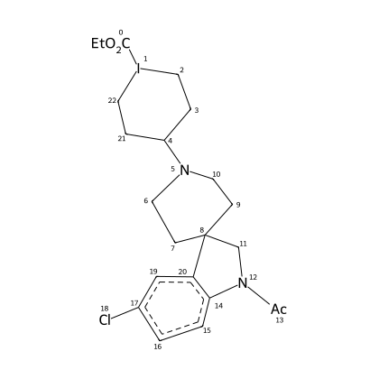 CCOC(=O)I1CCC(N2CCC3(CC2)CN(C(C)=O)c2ccc(Cl)cc23)CC1